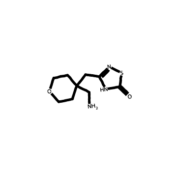 NCC1(Cc2nsc(=O)[nH]2)CCOCC1